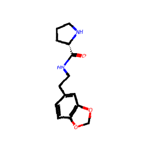 O=C(NCCc1ccc2c(c1)OCO2)[C@@H]1CCCN1